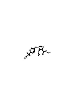 CCCc1c(C(=O)OCC)ncn1Cc1ccc(C(C)(C)C#N)cc1